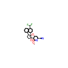 COc1nc(C#N)cc2c1C1(O)CCC(c3ccccc3)[C@]1(c1ccc(C(F)F)cc1)O2